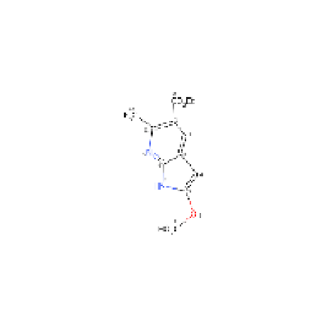 CCOC(=O)c1cc2cc(OC(=O)O)[nH]c2nc1C(F)(F)F